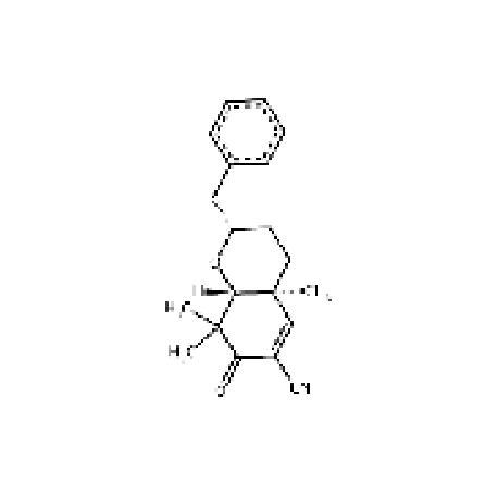 CC1(C)C(=O)C(C#N)=C[C@]2(C)CC[C@@H](Cc3ccccc3)O[C@@H]12